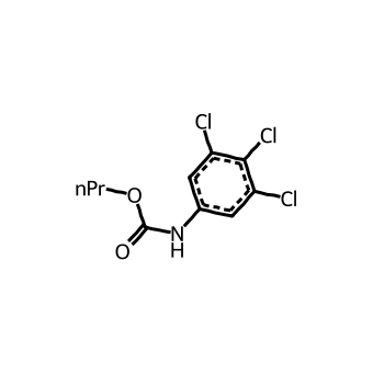 [CH2]CCOC(=O)Nc1cc(Cl)c(Cl)c(Cl)c1